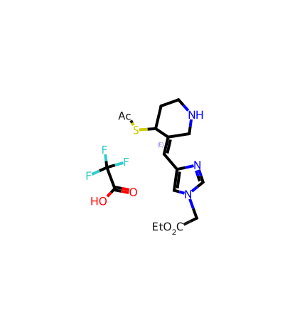 CCOC(=O)Cn1cnc(/C=C2\CNCCC2SC(C)=O)c1.O=C(O)C(F)(F)F